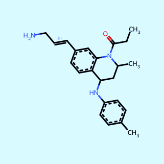 CCC(=O)N1c2cc(/C=C/CN)ccc2C(Nc2ccc(C)cc2)CC1C